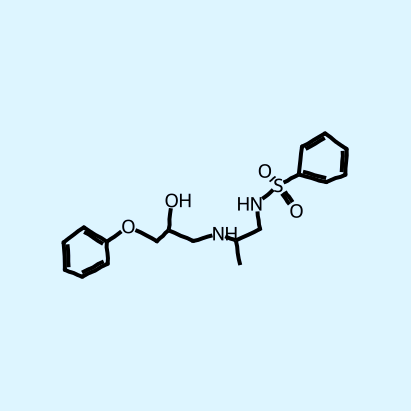 CC(CNS(=O)(=O)c1ccccc1)NCC(O)COc1ccccc1